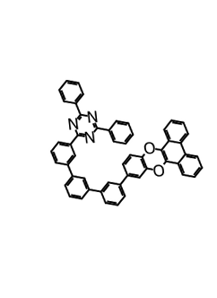 c1ccc(-c2nc(-c3ccccc3)nc(-c3cccc(-c4cccc(-c5cccc(-c6ccc7c(c6)Oc6c(c8ccccc8c8ccccc68)O7)c5)c4)c3)n2)cc1